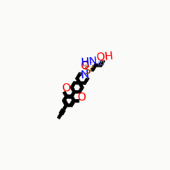 CC#Cc1cc(C)c(C2C(=O)CC3(CCN([S+]([O-])CC(=N)/C=C\O)CC3)CC2=O)c(C)c1